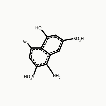 CC(=O)c1cc(S(=O)(=O)O)c(N)c2cc(S(=O)(=O)O)cc(O)c12